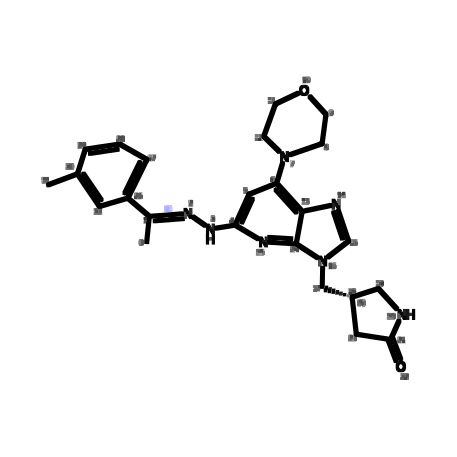 C/C(=N\Nc1cc(N2CCOCC2)c2ncn(C[C@@H]3CNC(=O)C3)c2n1)c1cccc(C)c1